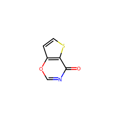 O=c1ncoc2ccsc12